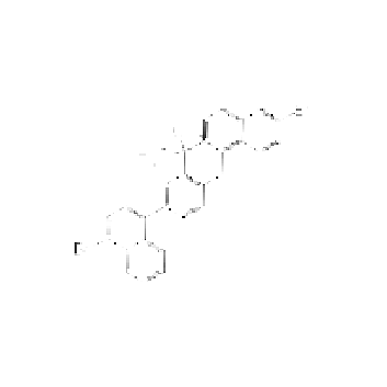 CC1(C)c2cc(-c3ccc(Br)c4ccccc34)ccc2Cc2c1ccc1cc(Br)ccc21